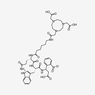 NC(=O)CC[C@H](NC(=O)CCCCCNC(=O)CN1CCN(CC(=O)O)CCN(CC(=O)O)CC1)C(=O)N[C@@H](Cc1c[nH]c2ccccc12)C(=O)NC(CC(=O)O)c1ccccc1[N+](=O)[O-]